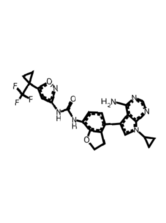 Nc1ncnc2c1c(-c1ccc(NC(=O)Nc3cc(C4(C(F)(F)F)CC4)on3)c3c1CCO3)cn2C1CC1